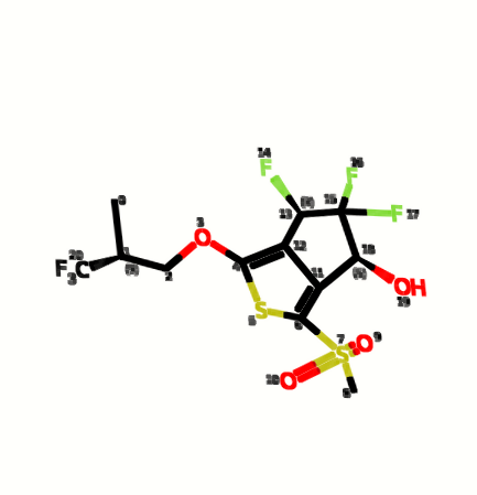 C[C@@H](COc1sc(S(C)(=O)=O)c2c1[C@@H](F)C(F)(F)[C@H]2O)C(F)(F)F